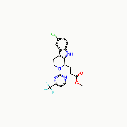 COC(=O)CCC1c2[nH]c3ccc(Cl)cc3c2CCN1c1nccc(C(F)(F)F)n1